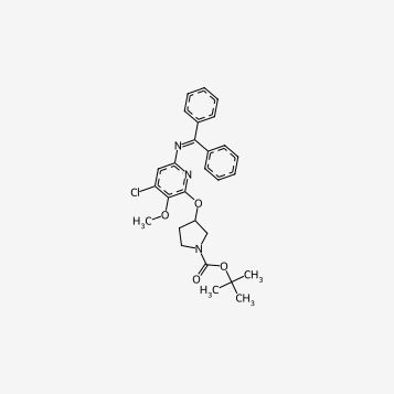 COc1c(Cl)cc(N=C(c2ccccc2)c2ccccc2)nc1OC1CCN(C(=O)OC(C)(C)C)C1